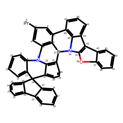 CC(C)c1cc2c3c(c1)N1c4ccccc4C4(c5ccccc5-c5ccccc54)c4cccc(c41)B3n1c3oc4ccccc4c3c3cccc-2c31